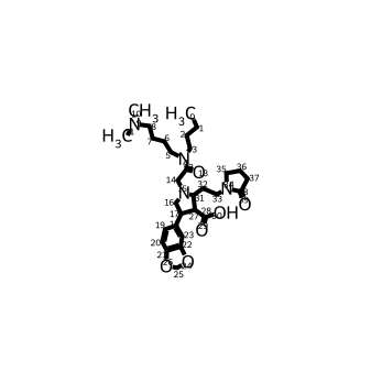 CCCCN(CCCCN(C)C)C(=O)CN1CC(c2ccc3c(c2)OCO3)C(C(=O)O)C1CCN1CCCC1=O